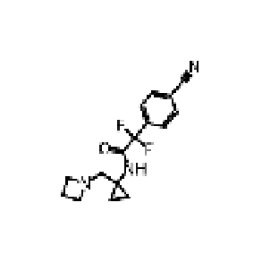 N#Cc1ccc(C(F)(F)C(=O)NC2(CN3CCC3)CC2)cc1